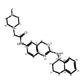 CN1CCN(CC(=O)Nc2ccc3c(c2)COC([AsH][C@@H]2CCCc4ccccc42)=N3)CC1